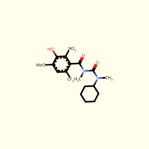 COc1cc(C(F)(F)F)c(C(=O)N(C)C(=O)N(C)C2CCCCC2)c([N+](=O)[O-])c1O